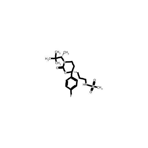 C[C@H](N1CC[C@@](CCCNS(C)(=O)=O)(c2ccc(F)cc2)OC1=O)C(C)(C)C